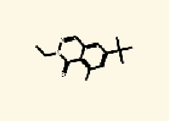 CCn1ncc2cc(C(C)(C)C)cc(F)c2c1=O